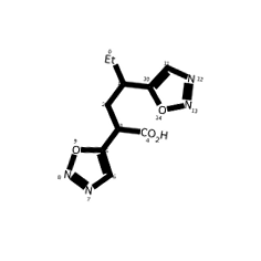 CCC(CC(C(=O)O)c1cnno1)c1cnno1